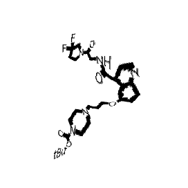 CC(C)(C)OC(=O)N1CCN(CCCOc2ccc3nccc(C(=O)NCC(=O)N4CCC(F)(F)C4)c3c2)CC1